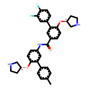 Cc1ccc(-c2cc(NC(=O)c3ccc(O[C@H]4CCNC4)c(-c4ccc(F)c(F)c4)c3)ccc2O[C@@H]2CCNC2)cc1